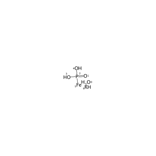 O.O=[P](O)(O)[Fe].[KH]